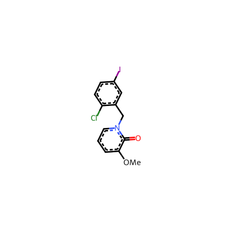 COc1cccn(Cc2cc(I)ccc2Cl)c1=O